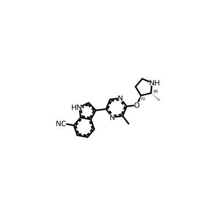 Cc1nc(-c2c[nH]c3c(C#N)cccc23)cnc1O[C@H]1CCN[C@@H]1C